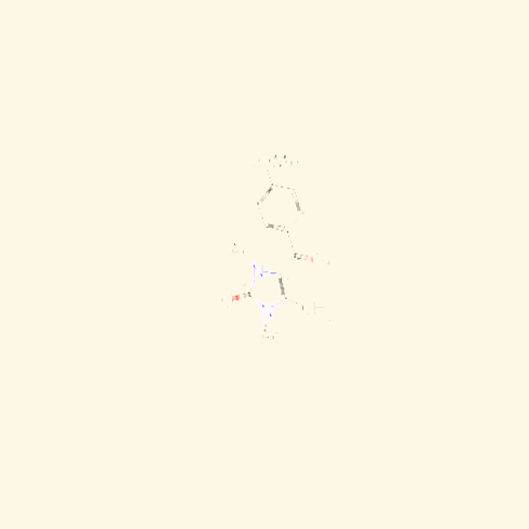 [CH2]c1c(C(=O)c2ccc(OC)cc2)n(C(C)=O)c(=O)n1C(C)=O